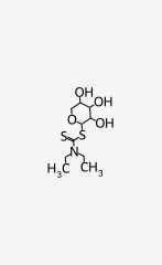 CCN(CC)C(=S)SC1OCC(O)C(O)C1O